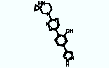 Oc1cc(-c2cn[nH]c2)ccc1-c1cnc(N2CCNC3(CC3)C2)nn1